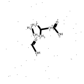 CC.CC(C)C.O=CO.O=CO